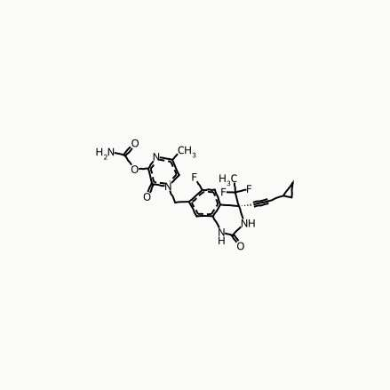 Cc1cn(Cc2cc3c(cc2F)[C@@](C#CC2CC2)(C(C)(F)F)NC(=O)N3)c(=O)c(OC(N)=O)n1